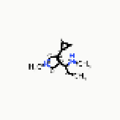 CCC(NC)C1=C(C2CC2)CN(C)C1